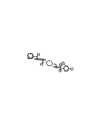 O=C(NNC(=O)[C@H]1CC[C@H](CNS(=O)(=O)c2ccc(Cl)cc2Cl)CC1)c1cccnc1